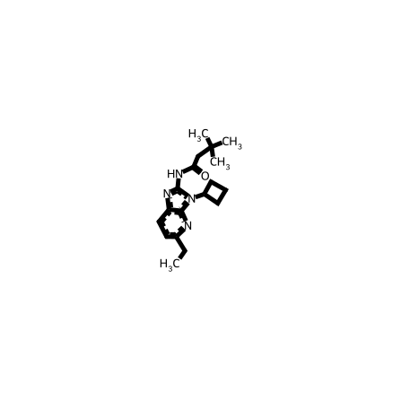 CCc1ccc2nc(NC(=O)CC(C)(C)C)n(C3CCC3)c2n1